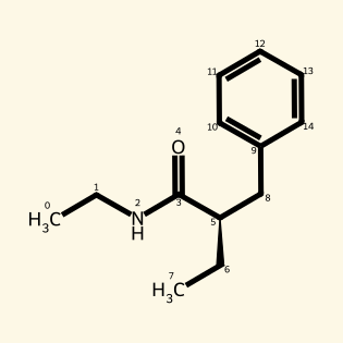 CCNC(=O)[C@H](CC)Cc1ccccc1